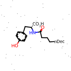 CCCCCCCCCCCCCC(=O)N[C@H](Cc1ccc(O)cc1)C(=O)O